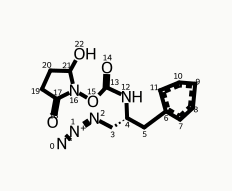 [N-]=[N+]=NC[C@@H](Cc1ccccc1)NC(=O)ON1C(=O)CCC1O